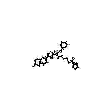 Cc1ccc2cc(-c3cnc(C(CCCCCC(=O)c4ncco4)NCc4ccccc4)[nH]3)ccc2n1